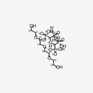 O=P(O)(O)C(OC(P(=O)(O)O)P(=O)(O)O)P(=O)(O)O.OCCOCCOCCOCCO